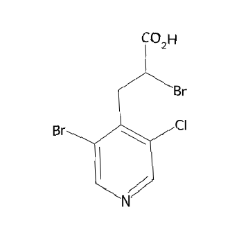 O=C(O)C(Br)Cc1c(Cl)cncc1Br